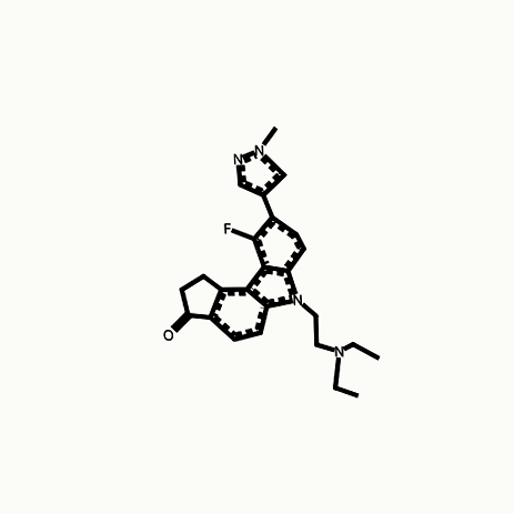 CCN(CC)CCn1c2ccc(-c3cnn(C)c3)c(F)c2c2c3c(ccc21)C(=O)CC3